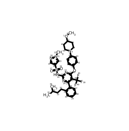 COC1CCN(c2ccc(Oc3nc(NS(=O)(=O)c4cnn(C)c4)nc(-c4ccccc4CCC(C)C)c3C(F)(F)F)cc2)CC1